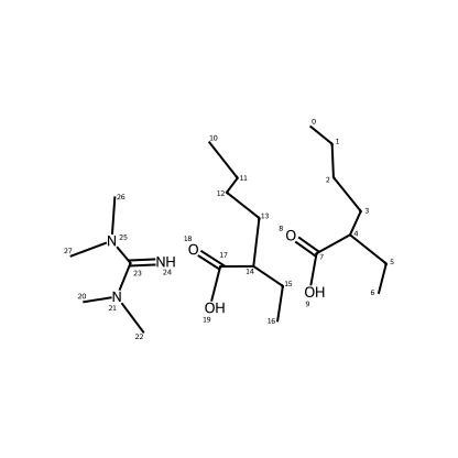 CCCCC(CC)C(=O)O.CCCCC(CC)C(=O)O.CN(C)C(=N)N(C)C